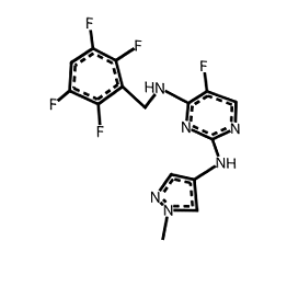 Cn1cc(Nc2ncc(F)c(NCc3c(F)c(F)cc(F)c3F)n2)cn1